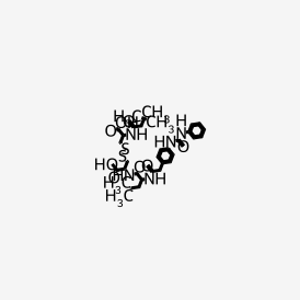 CC(C)CC(NC(=O)Cc1ccc(NC(=O)Nc2ccccc2)cc1)C(=O)NC(CSSCC(NC(=O)CC(C)(C)C)C(=O)O)C(=O)O